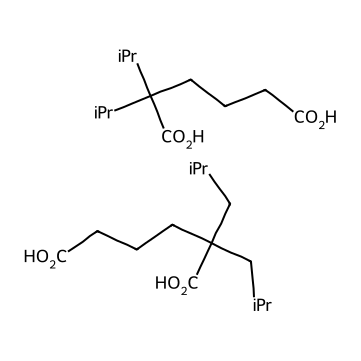 CC(C)C(CCCC(=O)O)(C(=O)O)C(C)C.CC(C)CC(CCCC(=O)O)(CC(C)C)C(=O)O